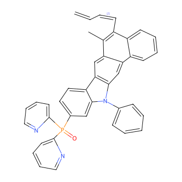 C=C/C=C\c1c(C)c2cc3c4ccc(P(=O)(c5ccccn5)c5ccccn5)cc4n(-c4ccccc4)c3cc2c2ccccc12